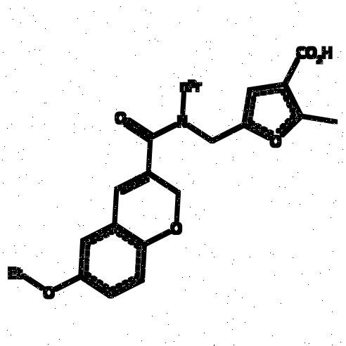 CCCN(Cc1cc(C(=O)O)c(C)o1)C(=O)C1=Cc2cc(OCC)ccc2OC1